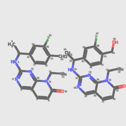 CC(Nc1ncc2ccc(=O)n(CC(C)(C)C)c2n1)c1ccc(C=O)c(F)c1.CC(Nc1ncc2ccc(=O)n(CC(C)(C)C)c2n1)c1ccc(CO)c(F)c1